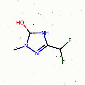 CN1N=C(C(F)F)NC1O